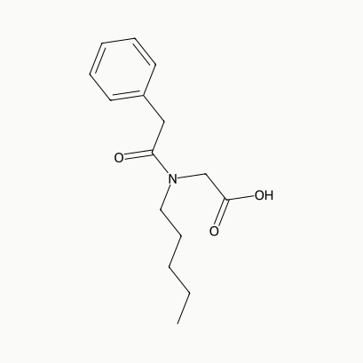 CCCCCN(CC(=O)O)C(=O)Cc1ccccc1